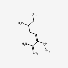 C=C(N)/C(=C\CC(C)CC)NN